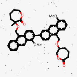 COc1cccc2c(COC3CCCC(=O)OC3)c3ccc(-c4ccc5c(COC6(C)CCCCOC6=O)c6ccccc6cc5c4OC)cc3cc12